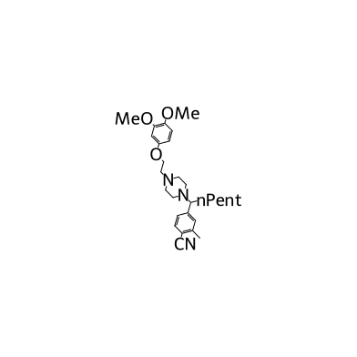 CCCCCC(c1ccc(C#N)c(C)c1)N1CCN(CCOc2ccc(OC)c(OC)c2)CC1